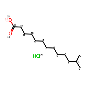 CC(C)CCCCCCCCCCC(=O)O.Cl